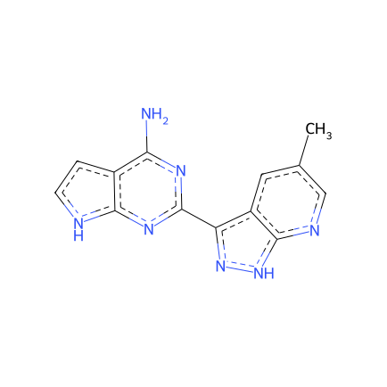 Cc1cnc2[nH]nc(-c3nc(N)c4cc[nH]c4n3)c2c1